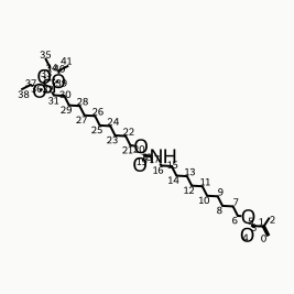 C=C(C)C(=O)OCCCCCCCCCCCNC(=O)OCCCCCCCCCCC[Si](OCC)(OCC)OCC